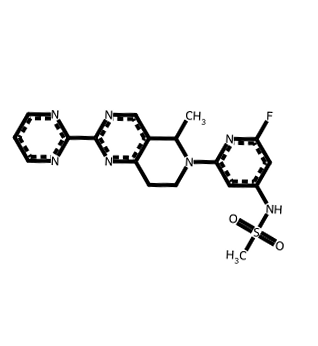 CC1c2cnc(-c3ncccn3)nc2CCN1c1cc(NS(C)(=O)=O)cc(F)n1